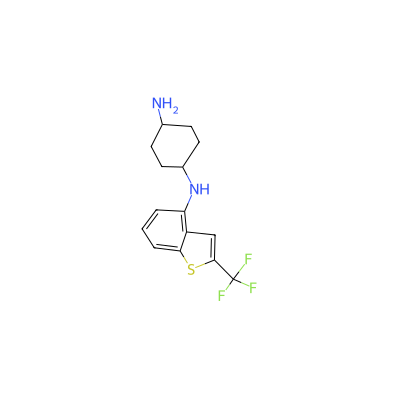 NC1CCC(Nc2cccc3sc(C(F)(F)F)cc23)CC1